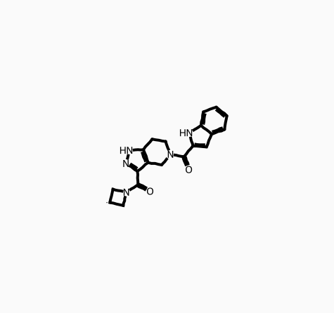 O=C(c1cc2ccccc2[nH]1)N1CCc2[nH]nc(C(=O)N3C[CH]C3)c2C1